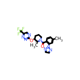 Cc1ccc(C(=O)N2CCC[C@@H](Oc3ncc(C(F)(F)F)nn3)[C@@H]2C)c(-n2nccn2)c1